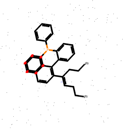 CC(C)CC/C=C(\CCC(C)C)c1ccc2ccccc2c1-c1ccccc1P(c1ccccc1)c1ccccc1